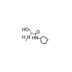 NC(CO)C(=O)Nc1cc[c]cc1